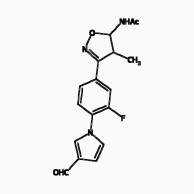 CC(=O)NC1ON=C(c2ccc(-n3ccc(C=O)c3)c(F)c2)C1C